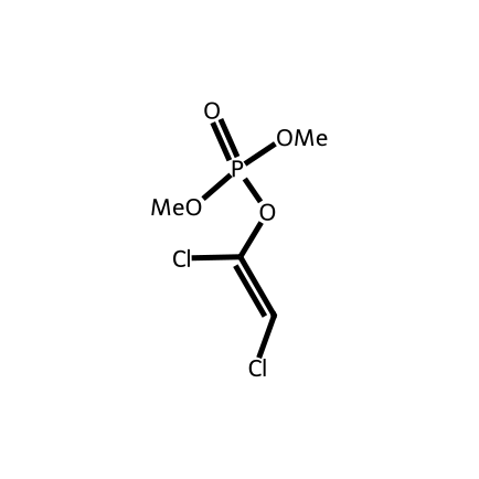 COP(=O)(OC)OC(Cl)=CCl